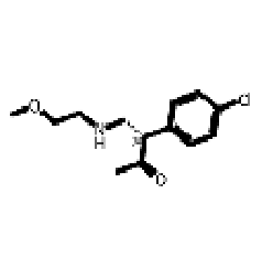 COCCNC[C@@H](C(C)=O)c1ccc(Cl)cc1